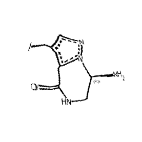 N[C@H]1CNC(=O)c2c(I)cnn21